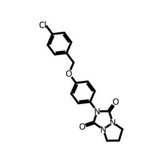 O=c1n(-c2ccc(OCc3ccc(Cl)cc3)cc2)c(=O)n2n1CCC2